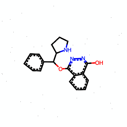 Oc1nnc(OC(c2ccccc2)C2CCCN2)c2ccccc12